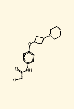 O=C(CCl)Nc1ccc(OC2CC(N3CCCCC3)C2)cc1